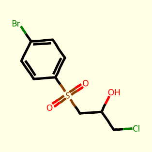 O=S(=O)(CC(O)CCl)c1ccc(Br)cc1